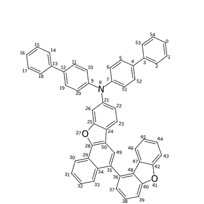 c1ccc(-c2ccc(N(c3ccc(-c4ccccc4)cc3)c3ccc4c(c3)oc3c5ccccc5c(-c5cccc6oc7ccccc7c56)cc43)cc2)cc1